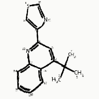 CC(C)(C)c1cc(-c2cscn2)nc2ccccc12